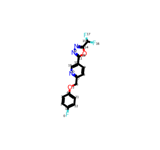 Fc1ccc(OCc2ccc(-c3nnc(C(F)F)o3)cn2)cc1